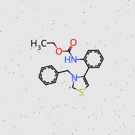 CCOC(=O)Nc1ccccc1C1=CS[CH]N1Cc1ccccc1